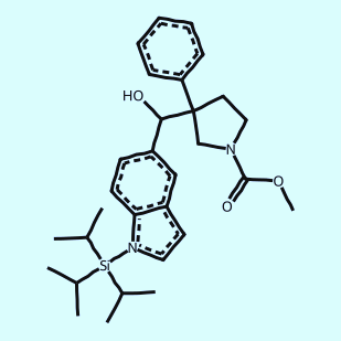 COC(=O)N1CCC(c2ccccc2)(C(O)c2ccc3c(ccn3[Si](C(C)C)(C(C)C)C(C)C)c2)C1